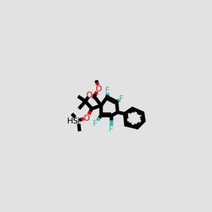 COC(=O)C1(C(O[SiH](C)C)C(C)(C)C)C(F)=C(F)C(c2ccccc2)C(F)=C1F